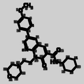 COc1ccc(-c2cnc3c(c2)cc(C(=O)NC2CCCCC2)c(=O)n3CCN2CCOCC2)cc1